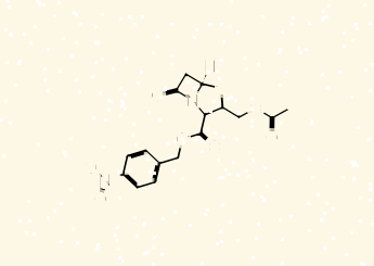 CC(=O)OCC1S[C@H]2CC(=O)N2C1C(=O)OCc1ccc([N+](=O)[O-])cc1